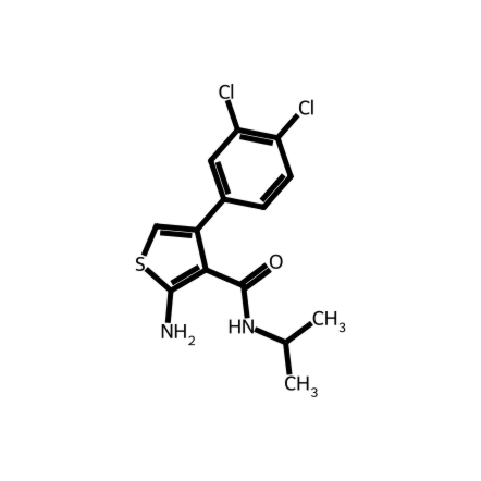 CC(C)NC(=O)c1c(-c2ccc(Cl)c(Cl)c2)csc1N